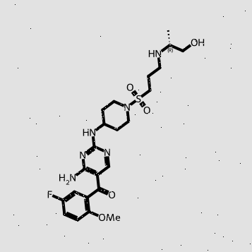 COc1ccc(F)cc1C(=O)c1cnc(NC2CCN(S(=O)(=O)CCCN[C@H](C)CO)CC2)nc1N